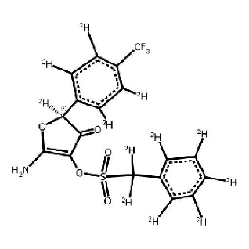 [2H]c1c([2H])c([2H])c(C([2H])([2H])S(=O)(=O)OC2=C(N)O[C@@]([2H])(c3c([2H])c([2H])c(C(F)(F)F)c([2H])c3[2H])C2=O)c([2H])c1[2H]